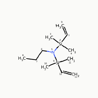 C=C[Si](C)(C)N(CCC)[Si](C)(C)C=C